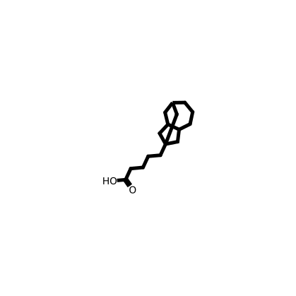 O=C(O)CCCCC12CC3CCCC(C1)C(C3)C2